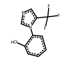 Oc1ccccc1-n1cncc1C(F)(F)F